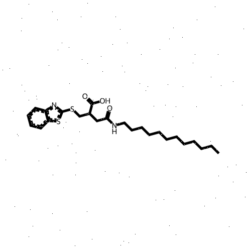 CCCCCCCCCCCCNC(=O)CC(CSc1nc2ccccc2s1)C(=O)O